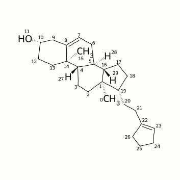 C[C@]12CC[C@H]3[C@@H](CC=C4C[C@@H](O)CC[C@@]43C)[C@@H]1CC[C@@H]2CCC1=CCCC1